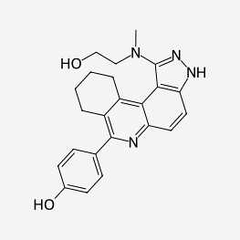 CN(CCO)c1n[nH]c2ccc3nc(-c4ccc(O)cc4)c4c(c3c12)CCCC4